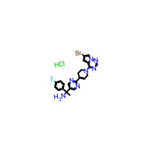 CC(N)(c1ccc(F)cc1)c1cnc(C2=CCN(c3ncnn4cc(Br)cc34)CC2)nc1.Cl